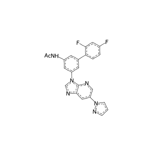 CC(=O)Nc1cc(-c2ccc(F)cc2F)cc(-n2cnc3cc(-n4cccn4)cnc32)c1